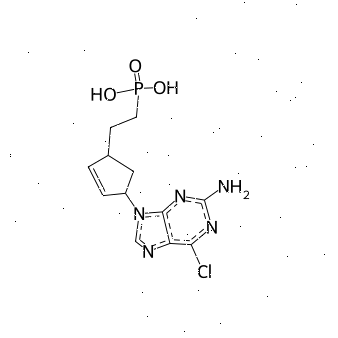 Nc1nc(Cl)c2ncn(C3C=CC(CCP(=O)(O)O)C3)c2n1